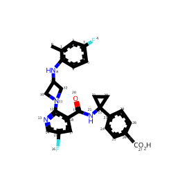 Cc1cc(F)ccc1NC1CN(c2ncc(F)cc2C(=O)NC2(c3ccc(C(=O)O)cc3)CC2)C1